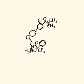 CN(C)C(=O)c1ccc(N2CCC3(CCC3CCN(C)C(=O)C(O)(c3ccccc3)C(F)(F)F)CC2)cc1Cl